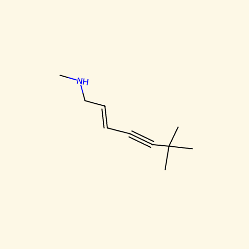 CNCC=CC#CC(C)(C)C